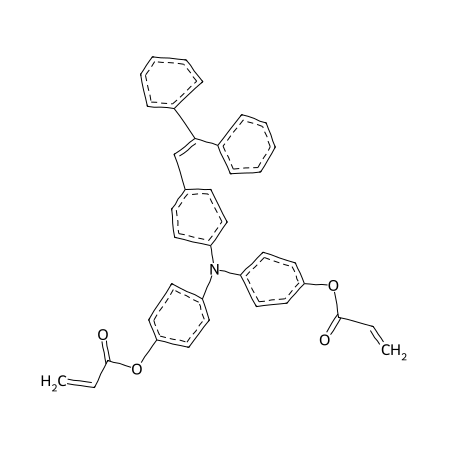 C=CC(=O)Oc1ccc(N(c2ccc(C=C(c3ccccc3)c3ccccc3)cc2)c2ccc(OC(=O)C=C)cc2)cc1